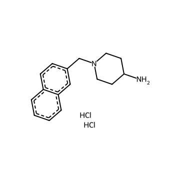 Cl.Cl.NC1CCN(Cc2ccc3ccccc3c2)CC1